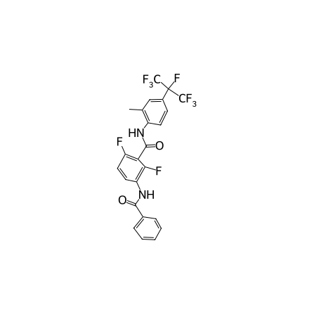 Cc1cc(C(F)(C(F)(F)F)C(F)(F)F)ccc1NC(=O)c1c(F)ccc(NC(=O)c2ccccc2)c1F